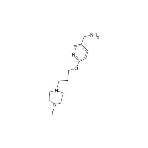 NCc1ccc(OCCCN2CCN(I)CC2)nc1